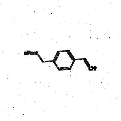 [CH]=Cc1ccc(CCCCCC)cc1